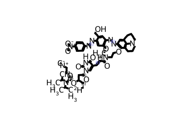 [2H]C[C@H]1O[C@@H](n2cc(/C=C/C(=O)NCCOc3c(/N=N/c4cc(CO)c(/N=N/c5ccc([N+](=O)[O-])cc5)cc4OC)cc4c5c3CCCN5CCC4)c(=O)[nH]c2=O)CC1OP(OCC[N+]#[C-])N(C(C)C)C(C)C